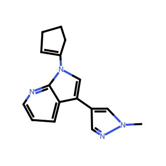 Cn1cc(-c2cn(C3=CCCC3)c3ncccc23)cn1